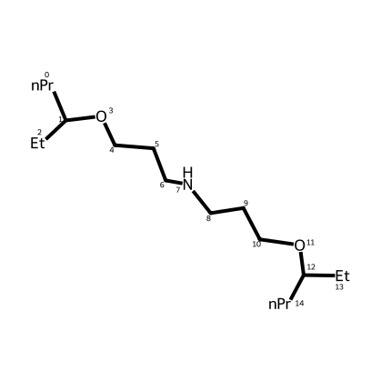 CCCC(CC)OCCCNCCCOC(CC)CCC